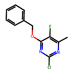 Cc1nc(Cl)nc(OCc2ccccc2)c1F